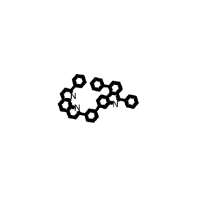 c1ccc(-c2ccc3ccc4ccc(-c5cccc(-c6ccc7c(c6)nc(-c6ccccc6)c6cccc(-c8ccccc8)c67)c5)nc4c3n2)cc1